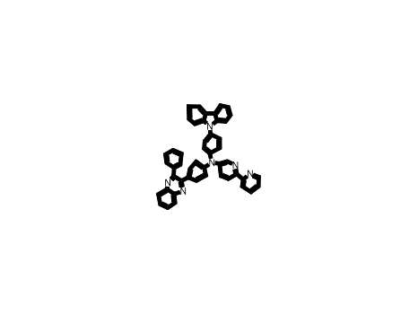 c1ccc(-c2nc3ccccc3nc2-c2ccc(N(c3ccc(-n4c5ccccc5c5ccccc54)cc3)c3ccc(-c4ccccn4)nc3)cc2)cc1